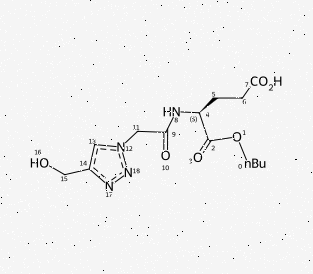 CCCCOC(=O)[C@H](CCC(=O)O)NC(=O)Cn1cc(CO)nn1